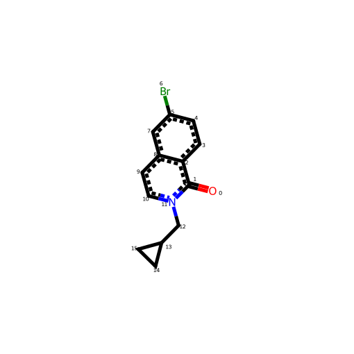 O=c1c2ccc(Br)cc2ccn1CC1CC1